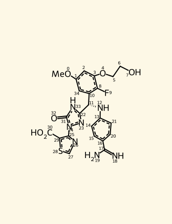 COc1cc(OCCO)c(F)c([C@H](Nc2ccc(C(=N)N)cc2)c2nn(-c3ncsc3C(=O)O)c(=O)[nH]2)c1